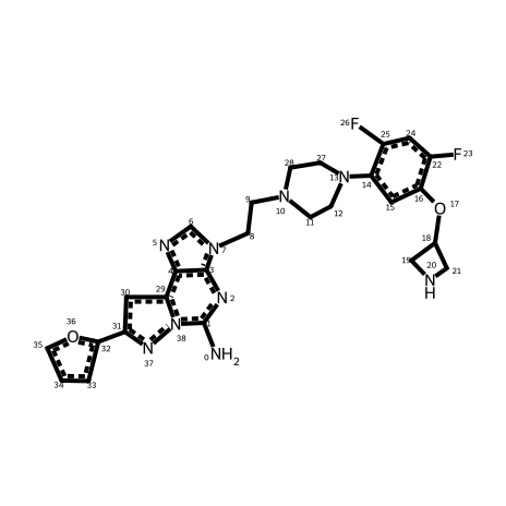 Nc1nc2c(ncn2CCN2CCN(c3cc(OC4CNC4)c(F)cc3F)CC2)c2cc(-c3ccco3)nn12